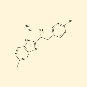 Cc1ccc2[nH]c([C@H](N)Cc3ccc(Br)cc3)nc2c1.Cl.Cl